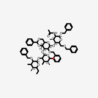 CCC1O[C@H](O[C@@H]2C(OCc3ccccc3)[C@H](O[C@@H]3C(COCc4ccccc4)O[C@@H](OCc4ccccc4)C(NC(C)=O)[C@@H]3C)OC3COC(c4ccccc4)O[C@H]32)C(O[C@H]2OC(CC)[C@@H](C)C(C)C2OCc2ccccc2)C(C)[C@@H]1C